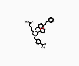 O=C(O)CCCCCN(Cc1ccc(C(=O)O)cc1)CC(OCc1ccc(CCc2ccccc2)cc1)c1ccccc1